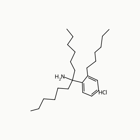 CCCCCCc1ccccc1C(N)(CCCCCC)CCCCCC.Cl